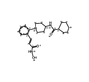 O=C(/C=C/c1ccccc1N1CCC(NC(=O)C2CCCCC2)CC1)NO